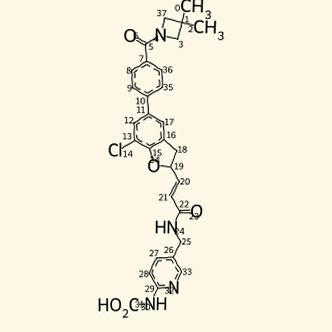 CC1(C)CN(C(=O)c2ccc(-c3cc(Cl)c4c(c3)CC(C=CC(=O)NCc3ccc(NC(=O)O)nc3)O4)cc2)C1